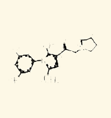 Cc1cc(C(=O)CN2CCCC2)c(C)n1-c1cc(F)cc(F)c1